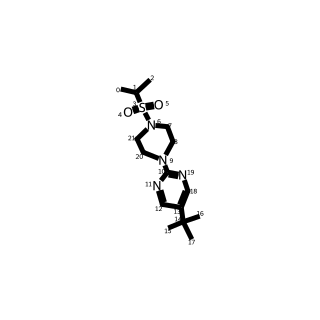 CC(C)S(=O)(=O)N1CCN(c2ncc(C(C)(C)C)cn2)CC1